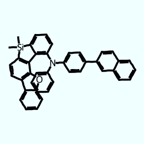 C[Si]1(C)c2cccc(N(c3ccccc3)c3ccc(-c4ccc5ccccc5c4)cc3)c2-c2c1ccc1c2oc2ccccc21